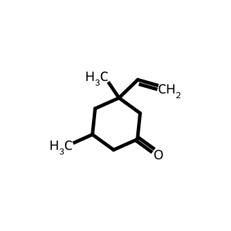 C=CC1(C)CC(=O)CC(C)C1